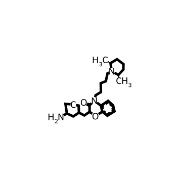 C[C@@H]1CCC[C@H](C)N1CCCCCN1C(=O)C(CC2CCCC(N)C2)Oc2ccccc21